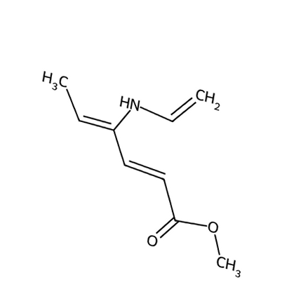 C=CNC(=C\C)/C=C/C(=O)OC